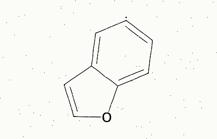 [c]1ccc2occc2c1